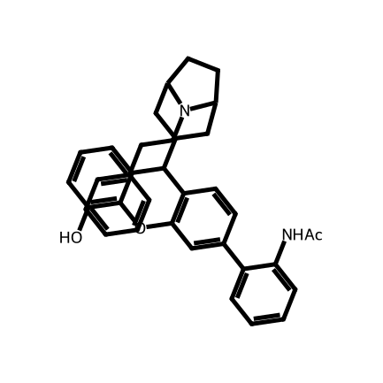 CC(=O)Nc1ccccc1-c1ccc2c(c1)Oc1c(O)cccc1C2C1CC2CCC(C1)N2CCc1ccccc1